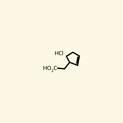 Cl.O=C(O)CC1C=CCC1